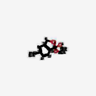 CCOC1(OCC)OCc2cc(CC)ccc21